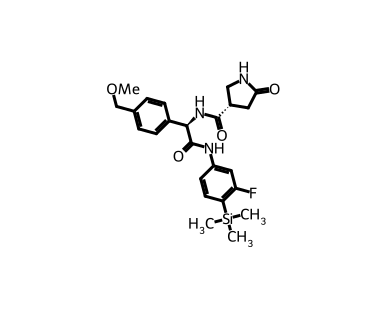 COCc1ccc([C@@H](NC(=O)[C@@H]2CNC(=O)C2)C(=O)Nc2ccc([Si](C)(C)C)c(F)c2)cc1